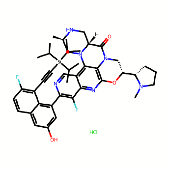 CC(C)[Si](C#Cc1c(F)ccc2cc(O)cc(-c3ncc4c5c6c(nc4c3F)O[C@@H]([C@@H]3CCCN3C)CN6C(=O)[C@H]3CN[C@H](C)CN53)c12)(C(C)C)C(C)C.Cl